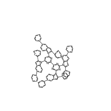 c1ccc(-c2ccc3c(c2)cc(-c2ccccc2)n3-c2cc(-n3c(-c4ccccc4)cc4cc(-c5ccccc5)ccc43)nc(-c3nc(-n4c(-c5ccccc5)cc5cc(-c6ccccc6)ccc54)nc(-n4c(-c5ccccc5)cc5cc(-c6ccccc6)ccc54)n3)n2)cc1